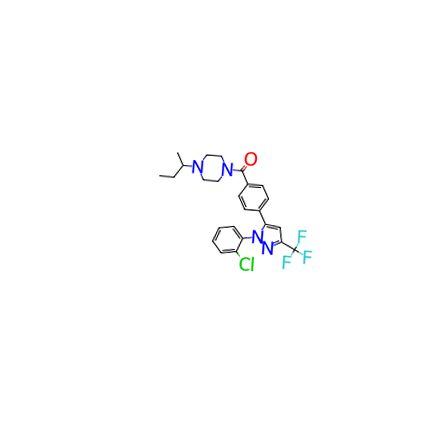 CCC(C)N1CCN(C(=O)c2ccc(-c3cc(C(F)(F)F)nn3-c3ccccc3Cl)cc2)CC1